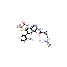 Cc1ccncc1-c1cc2cc(NC(=O)C3CC3CN(C)C)ncc2c(NC(=O)OC(C)(C)C)c1F